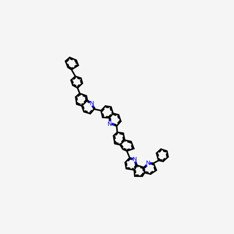 c1ccc(-c2ccc(-c3ccc4ccc(-c5ccc6ccc(-c7ccc8cc(-c9ccc%10ccc%11ccc(-c%12ccccc%12)nc%11c%10n9)ccc8c7)nc6c5)nc4c3)cc2)cc1